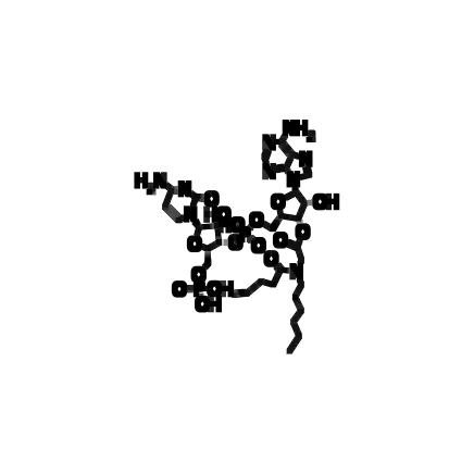 C=CCCC(=O)N(CCCCCC)CC(=O)O[C@H]1[C@@H](O)[C@H](n2cnc3c(N)ncnc32)O[C@@H]1COP(=O)(O)O[C@H]1[C@@H](O)[C@H](n2ccc(N)nc2=O)O[C@@H]1COP(=O)(O)O